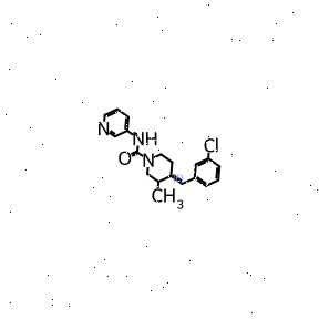 CC1CN(C(=O)Nc2cccnc2)CC/C1=C\c1cccc(Cl)c1